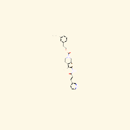 COc1cccc(CCOC(=O)N2CCc3c(sc(NC(=O)C=Cc4cccnc4)c3C#N)C2)c1